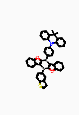 CC1(C)c2ccccc2N(c2ccc(B3c4oc5ccccc5c4B(c4ccc5sccc5c4)c4oc5ccccc5c43)cc2)c2ccccc21